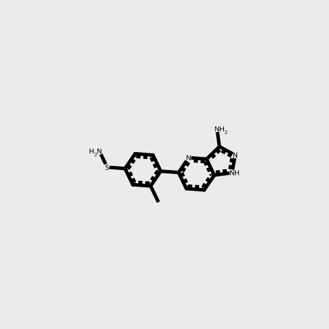 Cc1cc(SN)ccc1-c1ccc2[nH]nc(N)c2n1